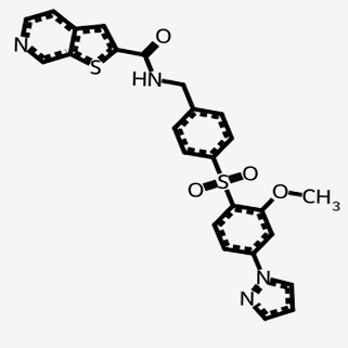 COc1cc(-n2cccn2)ccc1S(=O)(=O)c1ccc(CNC(=O)c2cc3ccncc3s2)cc1